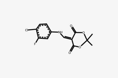 CC1(C)OC(=O)C(=CNc2ccc(Cl)c(F)c2)C(=O)O1